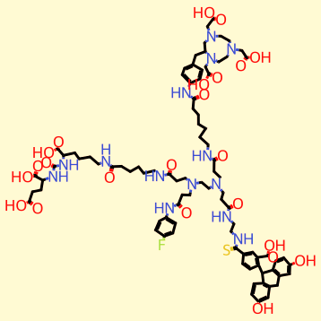 O=C(O)CCC(NC(=O)NC(CCCCNC(=O)CCCCCNC(=O)CCN(CCC(=O)Nc1ccc(F)cc1)CCN(CCC(=O)NCCCCCCC(=O)Nc1ccc(CC2CN(CC(=O)O)CCN(CC(=O)O)CCN2CC(=O)O)cc1)CCC(=O)NCCNC(=S)c1ccc(C2c3ccc(O)cc3Cc3cc(O)ccc32)c(C(=O)O)c1)C(=O)O)C(=O)O